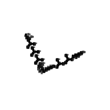 O.O.O.O=[Si]([O-])[O-].O=[Si]([O-])[O-].O=[Si]([O-])[O-].O=[Si]([O-])[O-].O=[Si]([O-])[O-].[Al+3].[Al+3].[Al+3].[Mg+2].[Mg+2].[Mg+2].[OH-].[OH-].[OH-].[OH-].[OH-]